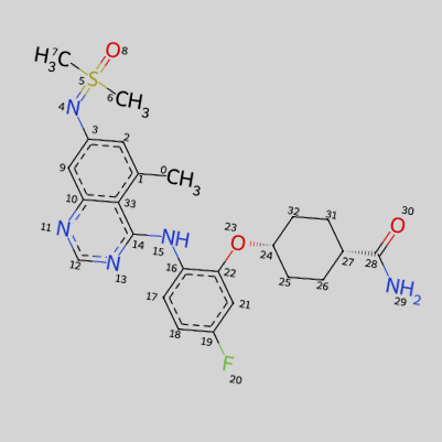 Cc1cc(N=S(C)(C)=O)cc2ncnc(Nc3ccc(F)cc3O[C@H]3CC[C@@H](C(N)=O)CC3)c12